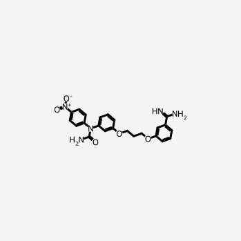 N=C(N)c1cccc(OCCCOc2cccc(N(C(N)=O)c3ccc([N+](=O)[O-])cc3)c2)c1